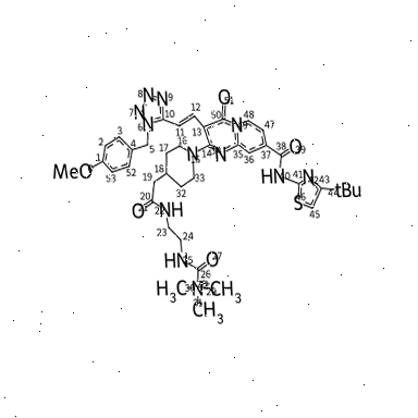 COc1ccc(Cn2nnnc2/C=C/c2c(N3CCC(CC(=O)NCCNC(=O)[N+](C)(C)C)CC3)nc3cc(C(=O)Nc4nc(C(C)(C)C)cs4)ccn3c2=O)cc1